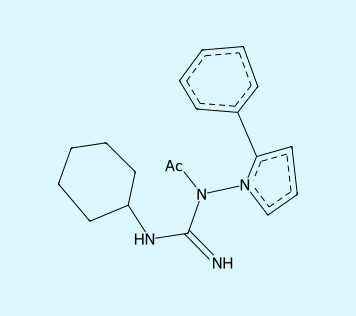 CC(=O)N(C(=N)NC1CCCCC1)n1cccc1-c1ccccc1